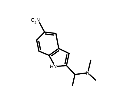 CC(c1cc2cc([N+](=O)[O-])ccc2[nH]1)N(C)C